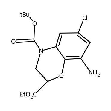 CCOC(=O)C1CN(C(=O)OC(C)(C)C)c2cc(Cl)cc(N)c2O1